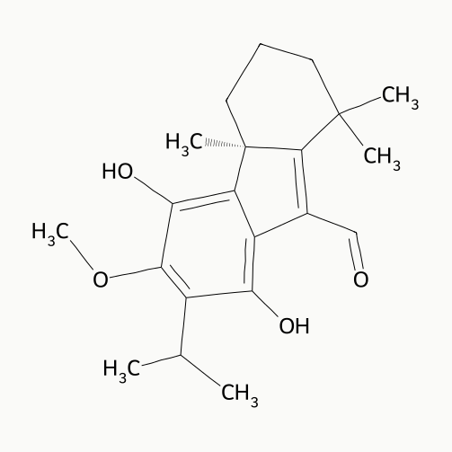 COc1c(O)c2c(c(O)c1C(C)C)C(C=O)=C1C(C)(C)CCC[C@@]12C